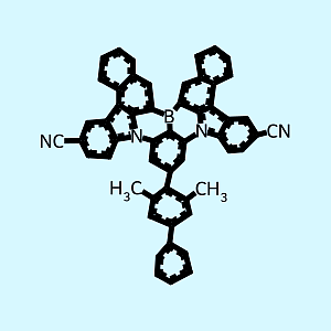 Cc1cc(-c2ccccc2)cc(C)c1-c1cc2c3c(c1)-n1c4ccc(C#N)cc4c4c5ccccc5cc(c41)B3c1cc3ccccc3c3c4cc(C#N)ccc4n-2c13